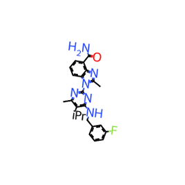 Cc1nc(-n2c(C)nc3c(C(N)=O)cccc32)nc(NCc2cccc(F)c2)c1C(C)C